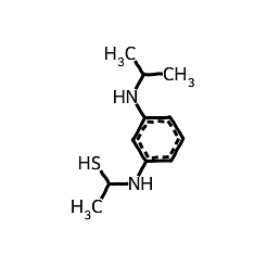 CC(C)Nc1cccc(NC(C)S)c1